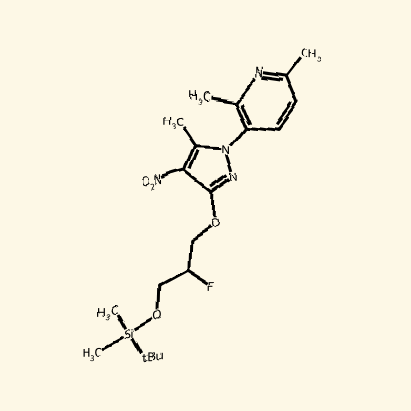 Cc1ccc(-n2nc(OCC(F)CO[Si](C)(C)C(C)(C)C)c([N+](=O)[O-])c2C)c(C)n1